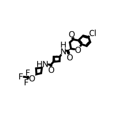 O=C1C[C@H](C(=O)NC23CC(C(=O)N[C@H]4C[C@@H](OC(F)(F)F)C4)(C2)C3)Oc2ccc(Cl)cc21